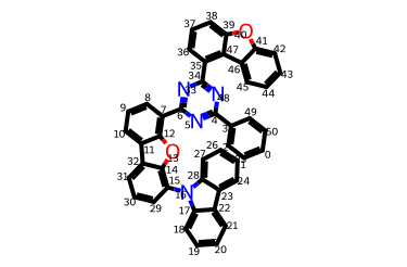 c1ccc(-c2nc(-c3cccc4c3oc3c(-n5c6ccccc6c6ccccc65)cccc34)nc(-c3cccc4oc5ccccc5c34)n2)cc1